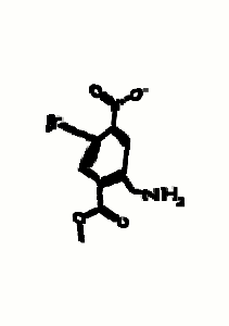 COC(=O)c1cc(Br)c([N+](=O)[O-])cc1N